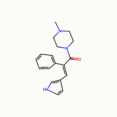 CN1CCN(C(=O)C(=Cc2cc[nH]c2)c2ccccc2)CC1